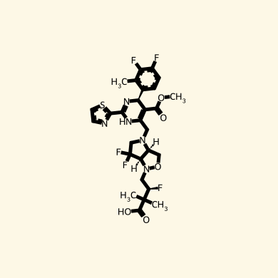 COC(=O)C1=C(CN2CC(F)(F)[C@H]3[C@@H]2CON3C[C@@H](F)C(C)(C)C(=O)O)NC(c2nccs2)=N[C@H]1c1ccc(F)c(F)c1C